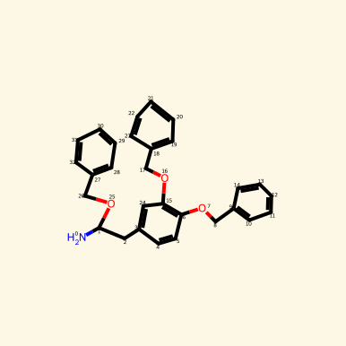 NC(Cc1ccc(OCc2ccccc2)c(OCc2ccccc2)c1)OCc1ccccc1